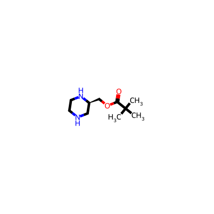 CC(C)(C)C(=O)OC[C@H]1CNCCN1